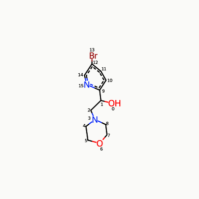 OC(CN1CCOCC1)c1ccc(Br)cn1